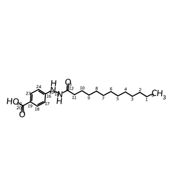 CCCCCCCCCCCCC(=O)NNc1ccc(C(=O)O)cc1